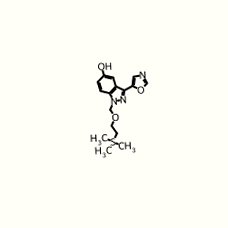 CS(C)(C)CCOCn1nc(-c2cnco2)c2cc(O)ccc21